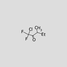 CCC(C)C(=O)C(F)(F)Cl